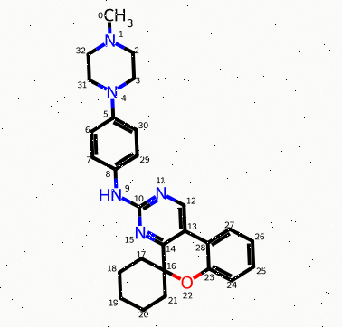 CN1CCN(c2ccc(Nc3ncc4c(n3)C3(CCCCC3)Oc3ccccc3-4)cc2)CC1